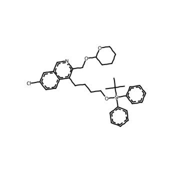 CC(C)(C)[Si](OCCCCc1c(COC2CCCCO2)ncc2cc(Cl)ccc12)(c1ccccc1)c1ccccc1